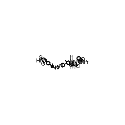 Cc1cc(Nc2ncc(Cl)c(Nc3ccccc3S(=O)(=O)C(C)C)n2)c(OC(C)C)cc1C1CCN(C2CN(CC3CN(c4ccc(N5CCC(=O)NC5=O)cc4)C3)C2)CC1